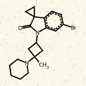 CC1(N2CCCCC2)CC(N2C(=O)C3(CC3)c3ccc(Br)cc32)C1